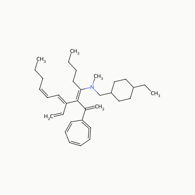 C=CC(=C\C=C/CCC)/C(C(=C)C1=C=CC=CC=C1)=C(\CCCC)N(C)CC1CCC(CC)CC1